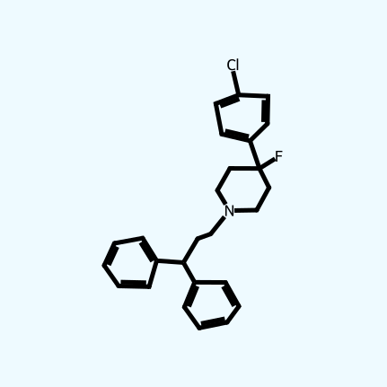 FC1(c2ccc(Cl)cc2)CCN(CCC(c2ccccc2)c2ccccc2)CC1